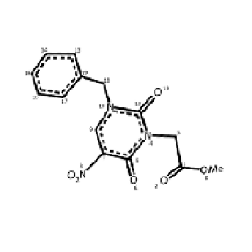 COC(=O)Cn1c(=O)c([N+](=O)[O-])cn(Cc2ccccc2)c1=O